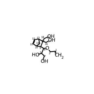 C=CCOC(C(O)CO)C1C2C=CC(C2)C1(CO)CO